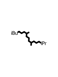 CCC(C)CCCC(C)CCCC(C)CCCC(C)C